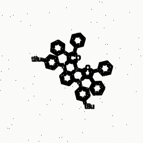 CC(C)(C)c1ccc(N2c3cccc4c3B(c3oc(-c5ccccc5)c(-c5ccccc5)c32)c2oc(-c3ccccc3)c(-c3ccccc3)c2N4c2ccc(C(C)(C)C)cc2)cc1